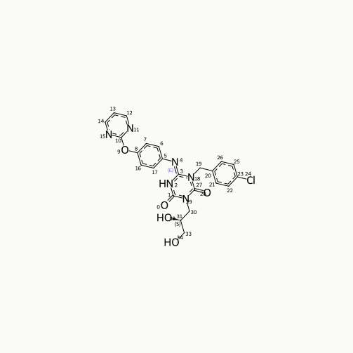 O=c1[nH]/c(=N\c2ccc(Oc3ncccn3)cc2)n(Cc2ccc(Cl)cc2)c(=O)n1C[C@H](O)CO